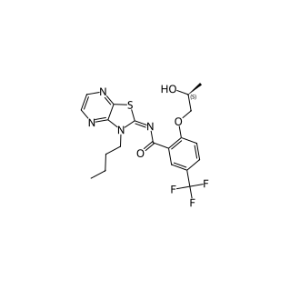 CCCCn1c(=NC(=O)c2cc(C(F)(F)F)ccc2OC[C@H](C)O)sc2nccnc21